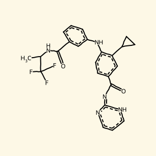 CC(NC(=O)c1cccc(Nc2ccc(C(=O)N=c3nccc[nH]3)cc2C2CC2)c1)C(F)(F)F